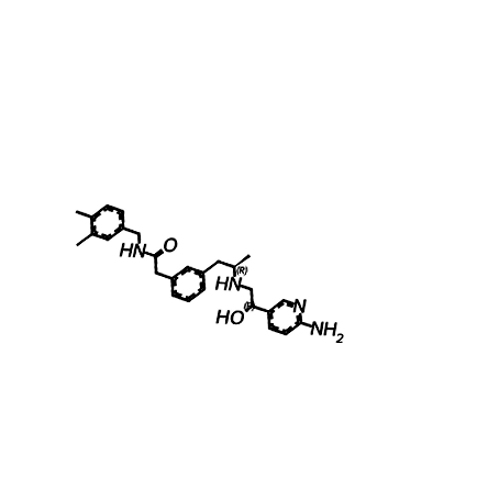 Cc1ccc(CNC(=O)Cc2cccc(C[C@@H](C)NC[C@H](O)c3ccc(N)nc3)c2)cc1C